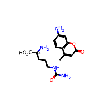 Cc1cc(=O)oc2cc(N)ccc12.NC(=O)NCCC[C@H](N)C(=O)O